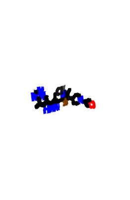 Cc1nc(-c2n[nH]c(-c3cc(C)c4ncnn4c3)c2CC(F)(F)F)sc1C1CCN(C2COC2)CC1